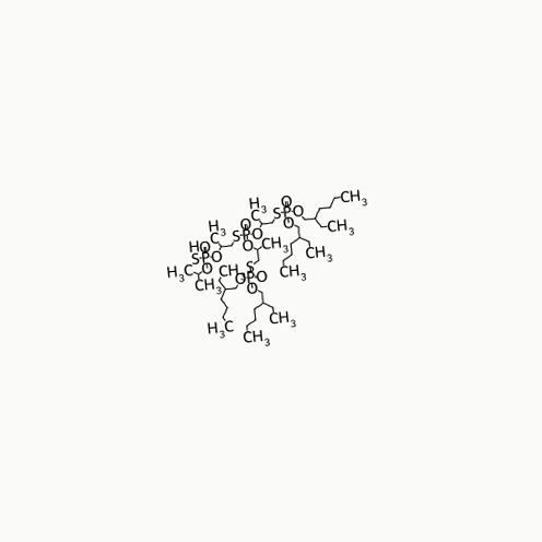 CCCCC(CC)COP(=O)(OCC(CC)CCCC)SCC(C)OP(=O)(OC(C)CSP(=O)(OCC(CC)CCCC)OCC(CC)CCCC)SCC(C)OP(=O)(S)OC(C)C